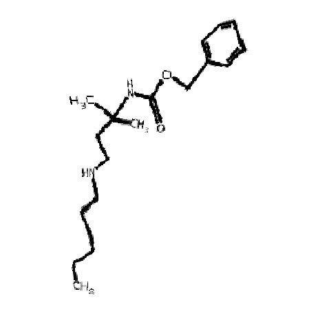 CCCCCNCCC(C)(C)NC(=O)OCc1ccccc1